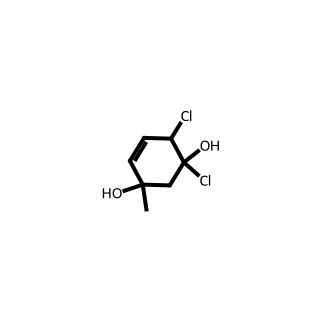 CC1(O)C=CC(Cl)C(O)(Cl)C1